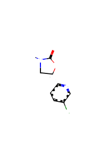 CN1C[C@@H](c2ccc(Br)cn2)OC1=O